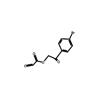 O=CC(=O)OCC(=O)c1ccc(Br)cc1